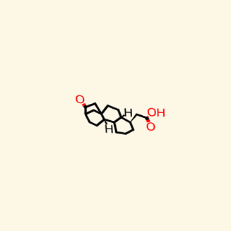 O=C(O)C[C@H]1CCCC2[C@@H]1CCC13CC(=O)C(CC[C@@H]21)C3